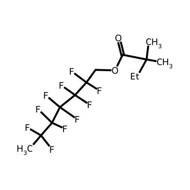 CCC(C)(C)C(=O)OCC(F)(F)C(F)(F)C(F)(F)C(F)(F)C(C)(F)F